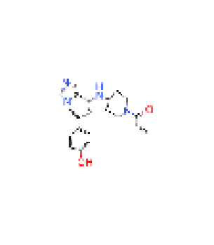 C=CC(=O)N1CCC(Nc2cc(-c3ccc(O)cc3)cn3cncc23)CC1